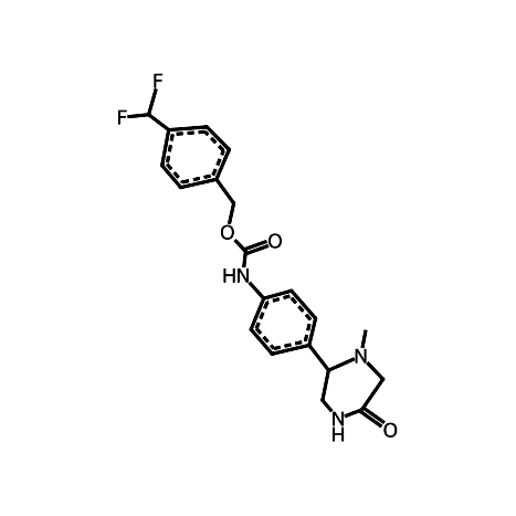 CN1CC(=O)NCC1c1ccc(NC(=O)OCc2ccc(C(F)F)cc2)cc1